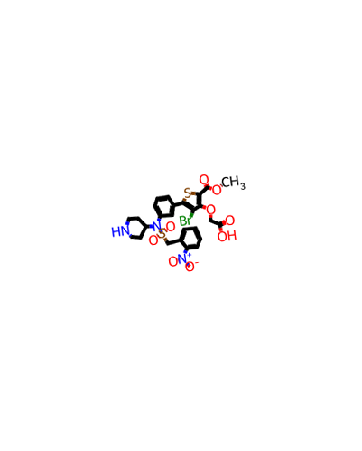 COC(=O)c1sc(-c2cccc(N(C3CCNCC3)S(=O)(=O)Cc3ccccc3[N+](=O)[O-])c2)c(Br)c1OCC(=O)O